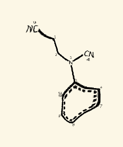 N#CCCN(C#N)c1ccccc1